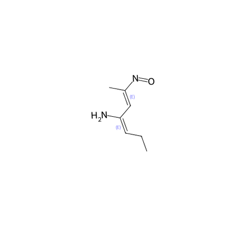 CC/C=C(N)\C=C(/C)N=O